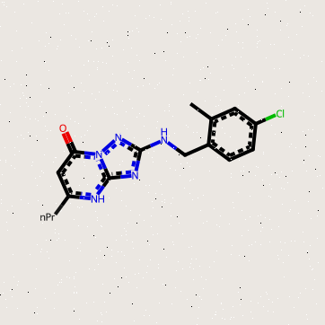 CCCc1cc(=O)n2nc(NCc3ccc(Cl)cc3C)nc2[nH]1